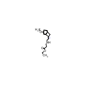 CCOC(=O)CCNC/C=C1/Cc2ccc(OC)cc21